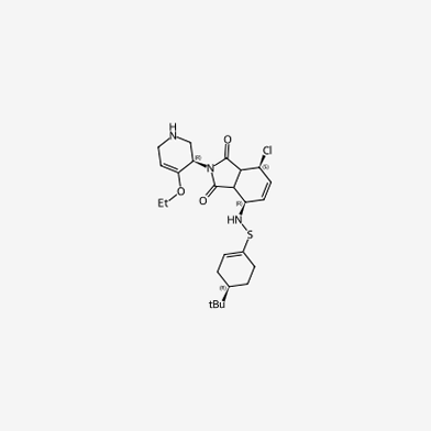 CCOC1=CCNC[C@H]1N1C(=O)C2C(C1=O)[C@H](NSC1=CC[C@H](C(C)(C)C)CC1)C=C[C@@H]2Cl